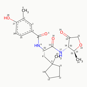 Cc1cc(C(=O)N[C@@H](CC2(C)CCCC2)C(=O)N[C@@H]2C(=O)CO[C@H]2C)ccc1O